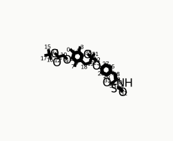 Cc1c(C)c2c(c(C)c1OCC(=O)OC(C)(C)C)CCC(C)(COc1ccc(C=C3NC(=O)SC3=O)cc1)O2